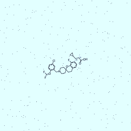 C[C@H](C(=O)O)[C@H](c1ccc2c(c1F)OC1(CC2)CCN(Cc2cc(Cl)ccc2OC(F)F)CC1)C1CC1